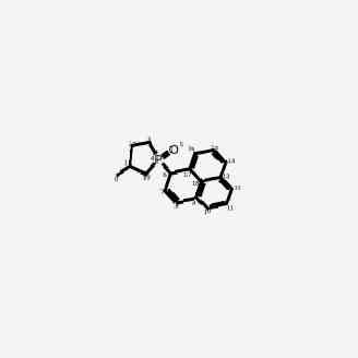 CC1CCP(=O)(C2C=Cc3cccc4cccc2c34)C1